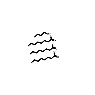 CCCCCCCC(=O)[S-].CCCCCCCC(=O)[S-].CCCCCCCC(=O)[S-].CCC[CH2][Sn+3]